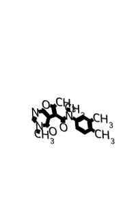 Cc1ccc(N(C)C(=O)c2c(C)oc3ncn(C)c(=O)c23)cc1C